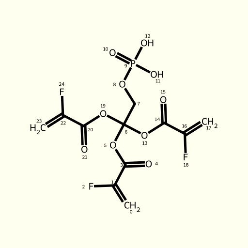 C=C(F)C(=O)OC(COP(=O)(O)O)(OC(=O)C(=C)F)OC(=O)C(=C)F